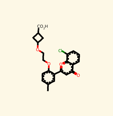 Cc1ccc(OCCOC2CC(C(=O)O)C2)c(-c2cc(=O)c3cccc(Cl)c3o2)c1